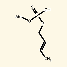 CC=CCSP(O)(=S)[O][Mo]